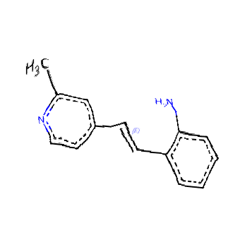 Cc1cc(/C=C/c2ccccc2N)ccn1